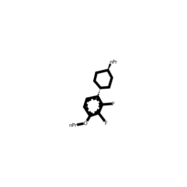 CCCOc1ccc([C@H]2CC[C@H](CCC)CC2)c(F)c1F